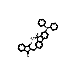 CC1(C)c2cc(C=C3C(=O)c4ccccc4C3=O)ccc2-c2ccc(N(c3ccccc3)c3ccccc3)cc21